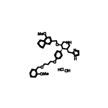 COc1ccccc1COCCCOc1ccc([C@H]2[C@H](Cc3ncc[nH]3)CNC[C@@H]2OCc2cc(OC)c3ccccc3c2)cc1.Cl.Cl